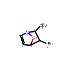 CC(C)(C)C1C2C=CN(O2)C1C(C)(C)C